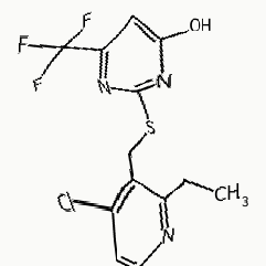 CCc1nccc(Cl)c1CSc1nc(O)cc(C(F)(F)F)n1